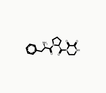 N[C@H](Cc1ccccc1)C(=O)N1CCC[C@H]1C(=O)N1CCNC(=O)C1=O